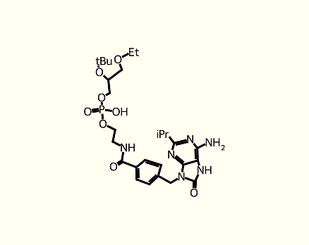 CCOCC(COP(=O)(O)OCCNC(=O)c1ccc(Cn2c(=O)[nH]c3c(N)nc(C(C)C)nc32)cc1)OC(C)(C)C